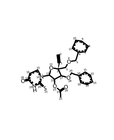 C#C[C@]1(COCc2ccccc2)OC(n2ccc(=O)[nH]c2=S)C(OC(C)=O)C1OCc1ccccc1